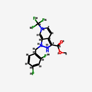 COC(=O)C1=C2C=CN(C(F)(F)F)C=C2N(Cc2ccc(F)cc2F)N1